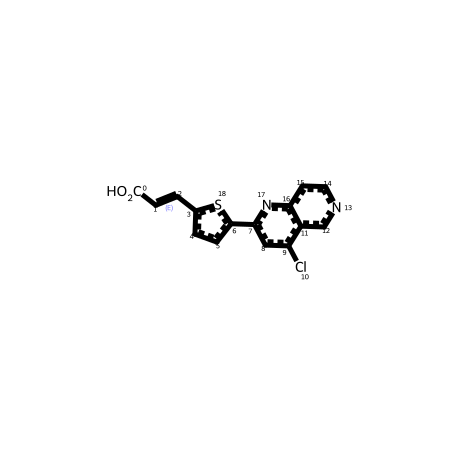 O=C(O)/C=C/c1ccc(-c2cc(Cl)c3cnccc3n2)s1